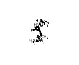 CC(COCc1cc(C#N)cc(NC(=O)OC(C)(C)C)c1)NC(=O)OC(C)(C)C